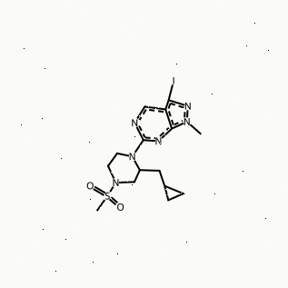 Cn1nc(I)c2cnc(N3CCN(S(C)(=O)=O)CC3CC3CC3)nc21